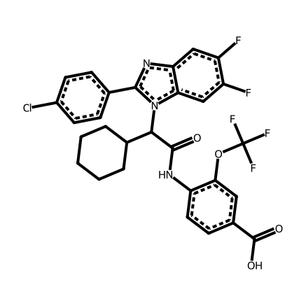 O=C(O)c1ccc(NC(=O)C(C2CCCCC2)n2c(-c3ccc(Cl)cc3)nc3cc(F)c(F)cc32)c(OC(F)(F)F)c1